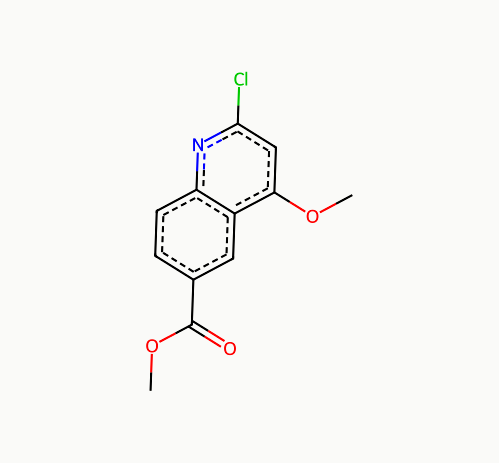 COC(=O)c1ccc2nc(Cl)cc(OC)c2c1